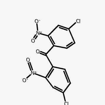 O=C(c1ccc(Cl)cc1[N+](=O)[O-])c1ccc(Cl)cc1[N+](=O)[O-]